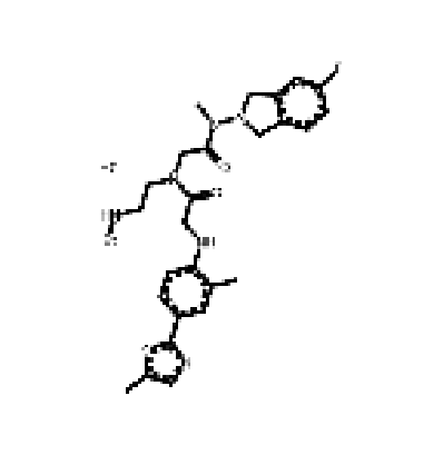 CCNCCN(CC(=O)N(C)N1Cc2ccc(F)cc2C1)C(=O)CNc1ccc(-c2ncc(C)s2)cc1C.Cl